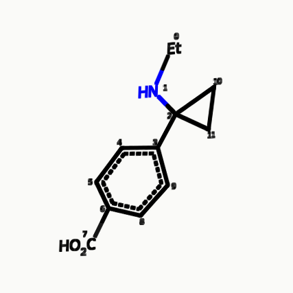 CCNC1(c2ccc(C(=O)O)cc2)CC1